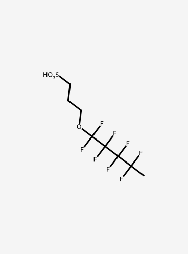 CC(F)(F)C(F)(F)C(F)(F)C(F)(F)OCCCS(=O)(=O)O